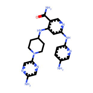 NC(=O)c1cnc(Nc2ccc(N)cn2)cc1NC1CCN(c2cnc(N)cn2)CC1